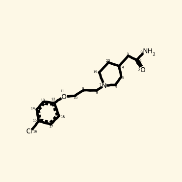 NC(=O)CC1CCN(CCCOc2ccc(Cl)cc2)CC1